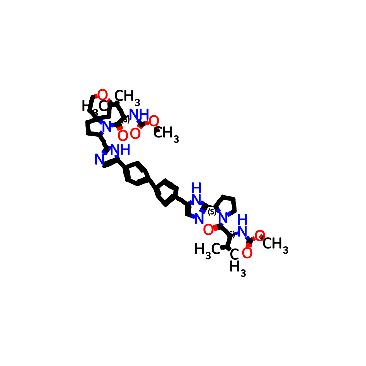 COC(=O)N[C@H](C(=O)N1CCC[C@H]1c1ncc(-c2ccc(-c3ccc(-c4cnc(C5CCC6(CCOCC6)N5C(=O)[C@@H](NC(=O)OC)C(C)C)[nH]4)cc3)cc2)[nH]1)C(C)C